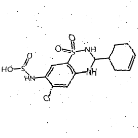 O=S(O)Nc1cc2c(cc1Cl)NC(C1CC=CCC1)NS2(=O)=O